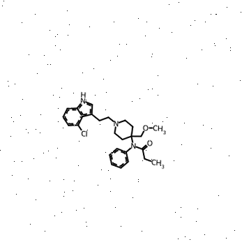 CCC(=O)N(c1ccccc1)C1(COC)CCN(CCc2c[nH]c3cccc(Cl)c23)CC1